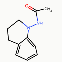 CC(=O)NN1CCCc2ccccc21